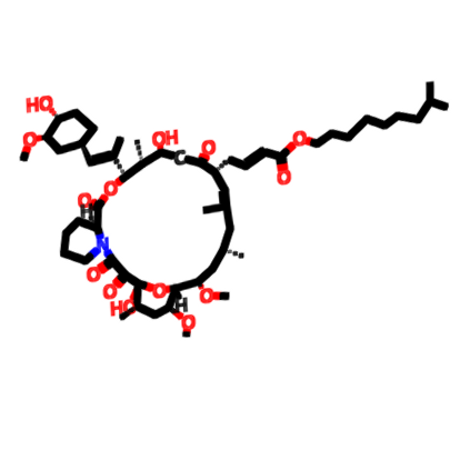 CO[C@H]1C[C@@H](C)C/C(C)=C/[C@@H](C/C=C/C(=O)OCCCCCCCC(C)C)C(=O)C[C@H](O)[C@@H](C)[C@@H](/C(C)=C/[C@@H]2CC[C@@H](O)[C@H](OC)C2)OC(=O)[C@@H]2CCCCN2C(=O)C(=O)[C@]2(O)O[C@H]1[C@@H](OC)C[C@H]2C